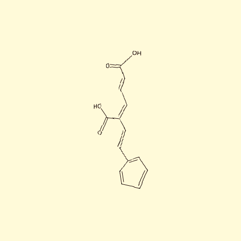 O=C(O)C=CC=C(C=Cc1ccccc1)C(=O)O